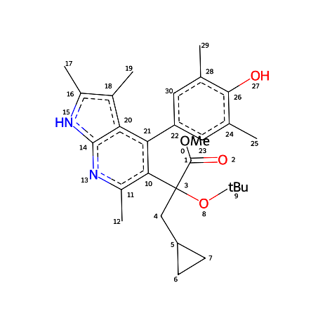 COC(=O)C(CC1CC1)(OC(C)(C)C)c1c(C)nc2[nH]c(C)c(C)c2c1-c1cc(C)c(O)c(C)c1